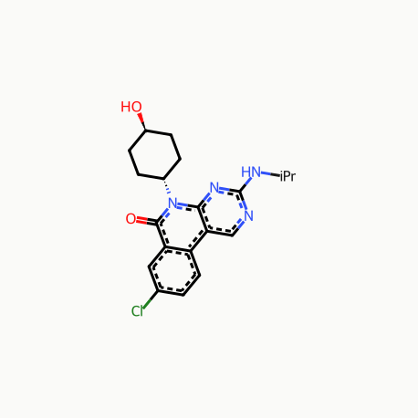 CC(C)Nc1ncc2c3ccc(Cl)cc3c(=O)n([C@H]3CC[C@H](O)CC3)c2n1